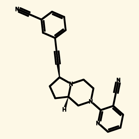 N#Cc1cccc(C#C[C@@H]2CC[C@@H]3CN(c4ncccc4C#N)CCN32)c1